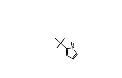 CC(C)(C)c1ccc[pH]1